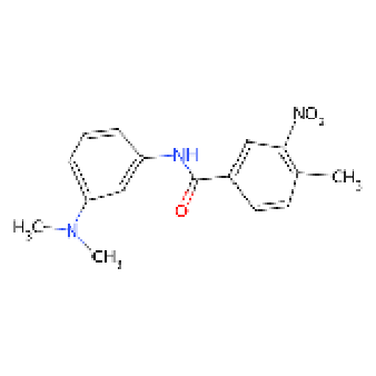 Cc1ccc(C(=O)Nc2cccc(N(C)C)c2)cc1[N+](=O)[O-]